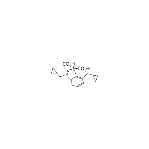 O=C(O)S1(C(=O)O)C=C(CC2CC2)c2cccc(CC3CC3)c21